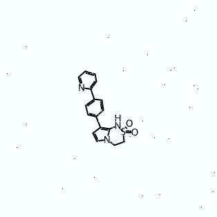 O=S1(=O)CCn2ccc(-c3ccc(-c4ccccn4)cc3)c2N1